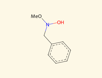 CON(O)Cc1ccccc1